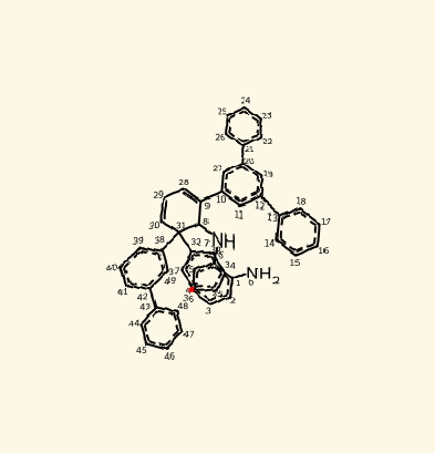 Nc1ccccc1NC1C(c2cc(-c3ccccc3)cc(-c3ccccc3)c2)=CC=CC1(c1ccccc1)c1cccc(-c2ccccc2)c1